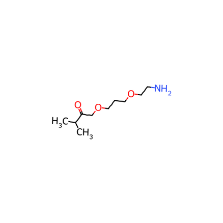 CC(C)C(=O)COCCCOCCN